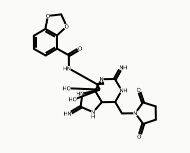 N=C1NC2C(CN3C(=O)CCC3=O)NC(=N)N3CC(NC(=O)c4cccc5c4OCO5)C(O)(O)C23N1